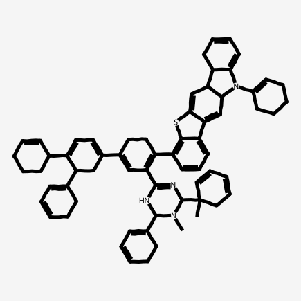 CN1C(C2=CC=CCC2)NC(C2=C(c3cccc4c5c(sc34)=CC3C4CC=CC=C4N(C4=CCCCC4)C3C=5)CCC(C3=CC=C(C4C=CCCC4)C(C4=CC=CCC4)C3)=C2)=NC1C1(C)C=CC=CC1